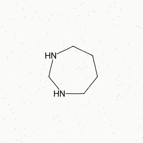 C1CCNCNC1